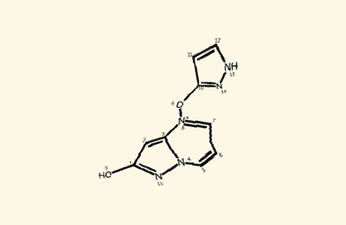 Oc1cc2n(ccc[n+]2Oc2cc[nH]n2)n1